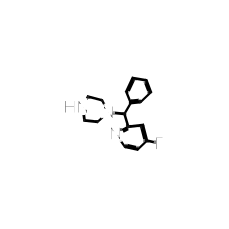 Fc1ccnc(C(c2ccccc2)N2CCNCC2)c1